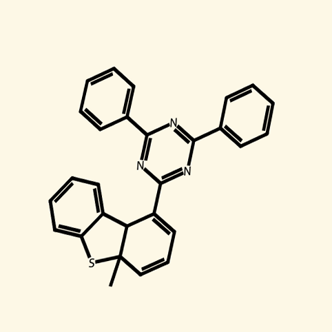 CC12C=CC=C(c3nc(-c4ccccc4)nc(-c4ccccc4)n3)C1c1ccccc1S2